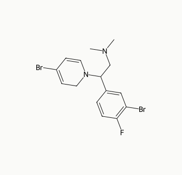 CN(C)CC(c1ccc(F)c(Br)c1)N1C=CC(Br)=CC1